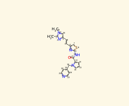 Cc1nc(C=Cc2csc(NC(=O)c3cccn3Cc3ccncc3)n2)cn1C